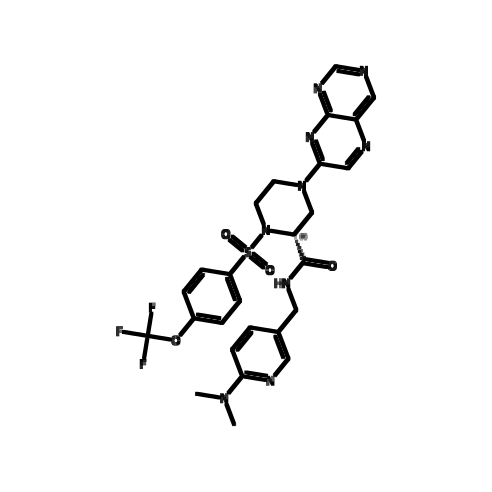 CN(C)c1ccc(CNC(=O)[C@H]2CN(c3cnc4cncnc4n3)CCN2S(=O)(=O)c2ccc(OC(F)(F)F)cc2)cn1